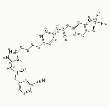 N#Cc1cccc(CC(=O)Nc2nnc(CCCCc3ccc(NC(=O)Cc4cccc(OC(F)(F)F)c4)nn3)s2)c1